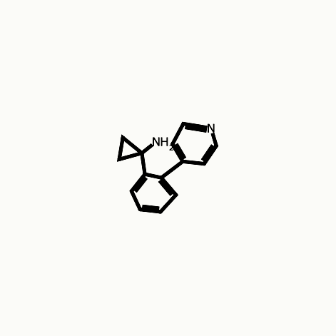 NC1(c2ccccc2-c2ccncc2)CC1